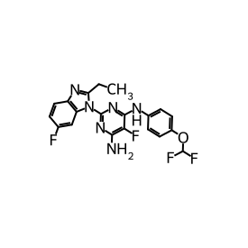 CCc1nc2ccc(F)cc2n1-c1nc(N)c(F)c(Nc2ccc(OC(F)F)cc2)n1